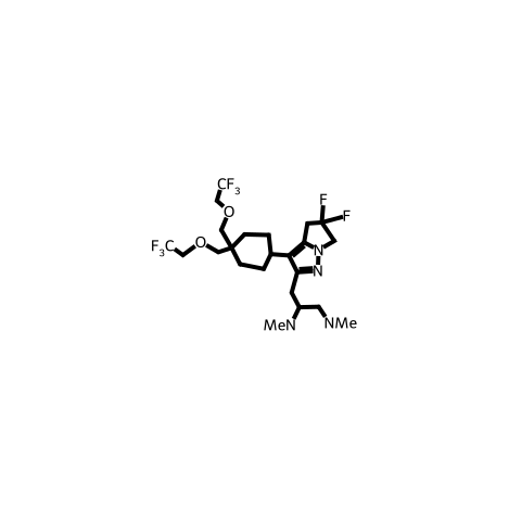 CNCC(Cc1nn2c(c1C1CCC(COCC(F)(F)F)(COCC(F)(F)F)CC1)CC(F)(F)C2)NC